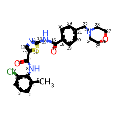 Cc1cccc(Cl)c1NC(=O)c1cnc(NC(=O)c2ccc(CN3CCOCC3)cc2)s1